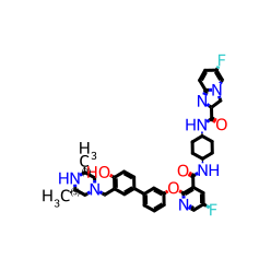 C[C@@H]1CN(Cc2cc(-c3cccc(Oc4ncc(F)cc4C(=O)N[C@H]4CC[C@@H](NC(=O)C5CN6C=C(F)C=CC6=N5)CC4)c3)ccc2O)C[C@H](C)N1